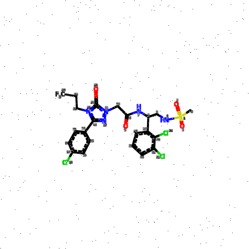 CS(=O)(=O)NCC(NC(=O)Cn1nc(-c2ccc(Cl)cc2)n(CCC(F)(F)F)c1=O)c1cccc(Cl)c1Cl